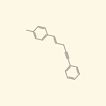 Cc1ccc(/C=C/CC#Cc2ccccc2)cc1